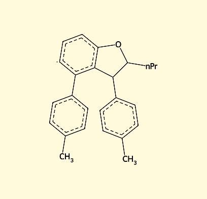 CCCC1Oc2cc[c]c(-c3ccc(C)cc3)c2C1c1ccc(C)cc1